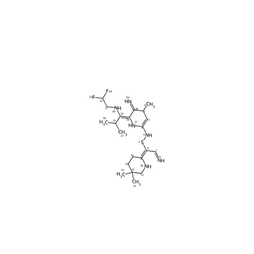 CC1C=C(NS/C(C=N)=C2\CCC(C)(C)CN2)N/C(=C(/NCC(F)F)C(C)C)C1=N